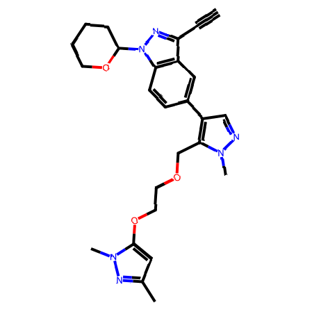 C#Cc1nn(C2CCCCO2)c2ccc(-c3cnn(C)c3COCCOc3cc(C)nn3C)cc12